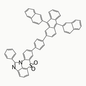 O=S1(=O)c2cc(-c3ccc(-c4ccc5c(-c6ccc7ccccc7c6)c6ccccc6c(-c6ccc7ccccc7c6)c5c4)cc3)ccc2-n2c(-c3ccccc3)nc3cccc1c32